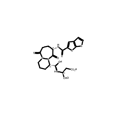 O=C[C@H](CC(=O)O)NC(O)[C@@H]1CCCN2C(=O)CC[C@H](NC(=O)c3cc4ccsc4s3)C(=O)N12